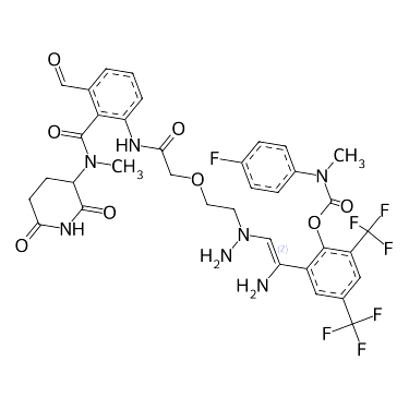 CN(C(=O)Oc1c(/C(N)=C/N(N)CCOCC(=O)Nc2cccc(C=O)c2C(=O)N(C)C2CCC(=O)NC2=O)cc(C(F)(F)F)cc1C(F)(F)F)c1ccc(F)cc1